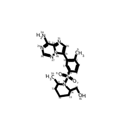 Cc1ccc(S(=O)(=O)N2C(C)CCCC2CO)cc1-c1cnc2c(N)ncnn12